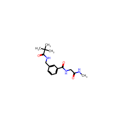 CNC(=O)CNC(=O)c1cccc(CNC(=O)C(C)(C)C)c1